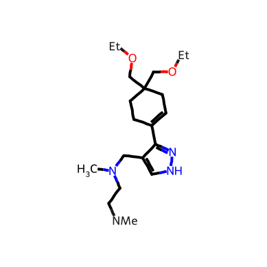 CCOCC1(COCC)CC=C(c2n[nH]cc2CN(C)CCNC)CC1